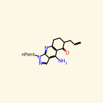 C=CCC1CCc2nc3c(cnn3CCCCC)c(N)c2C1=O